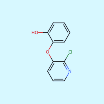 Oc1ccccc1Oc1cccnc1Cl